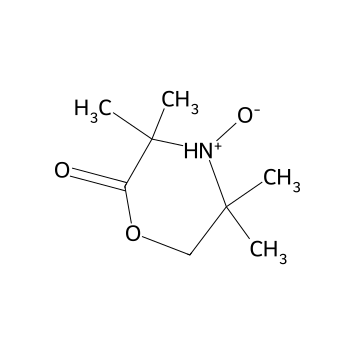 CC1(C)COC(=O)C(C)(C)[NH+]1[O-]